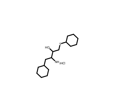 Cl.NC(CC1CCCCC1)C(O)CSC1CCCCC1